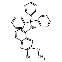 COc1cc2c(NC(c3ccccc3)(c3ccccc3)c3ccccc3)nccc2cc1Br